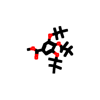 COC(=O)c1cc(O[Si](C)(C)C(C)(C)C)c(O[Si](C)(C)C(C)(C)C)c(O[Si](C)(C)C(C)(C)C)c1